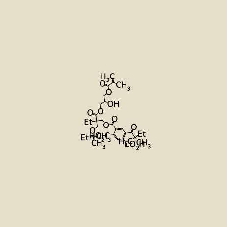 C=C(C)C(=O)OCC(O)COC(=O)C(CC)(COC(=O)c1cc(C(=O)C(C)(C)CC)c(C(=O)O)cc1C(=O)O)COC(C)(C)CC